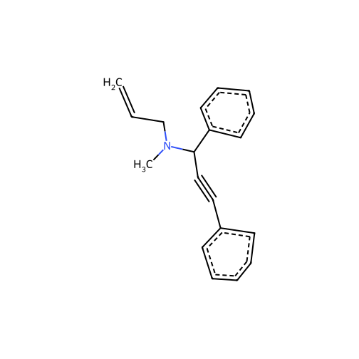 C=CCN(C)C(C#Cc1ccccc1)c1ccccc1